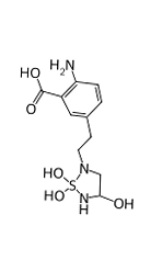 Nc1ccc(CCN2CC(O)NS2(O)O)cc1C(=O)O